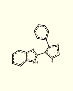 [c]1nc(-c2ccccc2)c(-c2nc3ccccc3[nH]2)[nH]1